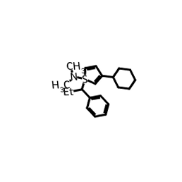 CCC(c1ccccc1)S1(N(C)C)C=CC(C2CCCCC2)=C1